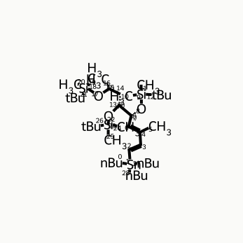 CCC[CH2][Sn]([CH]=CC(C)=C[C@@H](O[Si](C)(C)C(C)(C)C)[C@@H](C[C@@H](C)O[Si](C)(C)C(C)(C)C)O[Si](C)(C)C(C)(C)C)([CH2]CCC)[CH2]CCC